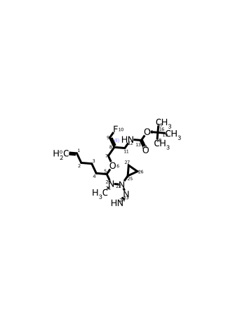 C=CCCCC(OC/C(=C/F)CNC(=O)OC(C)(C)C)N(C)N(N=N)C1CC1